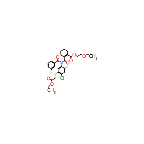 CCOCCOC(=O)C1=C(C(=O)N(C(=O)c2cccc(F)c2)c2cc(SCC(=O)OCC)c(Cl)cc2F)CCCC1